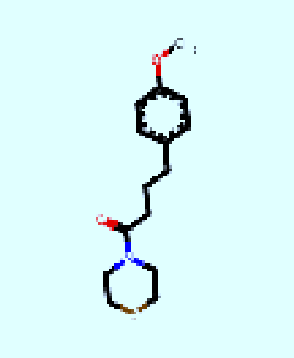 COc1ccc(CCCC(=O)N2CCSCC2)cc1